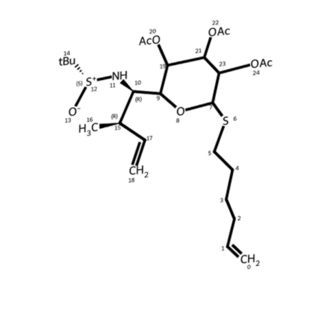 C=CCCCCSC1OC([C@H](N[S@+]([O-])C(C)(C)C)[C@H](C)C=C)C(OC(C)=O)C(OC(C)=O)C1OC(C)=O